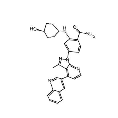 Cc1nn(-c2ccc(C(N)=O)c(N[C@H]3CC[C@H](O)CC3)c2)c2nccc(-c3cnc4ccccc4c3)c12